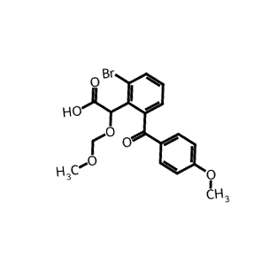 COCOC(C(=O)O)c1c(Br)cccc1C(=O)c1ccc(OC)cc1